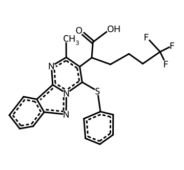 Cc1nc2c3ccccc3nn2c(Sc2ccccc2)c1C(CCCC(F)(F)F)C(=O)O